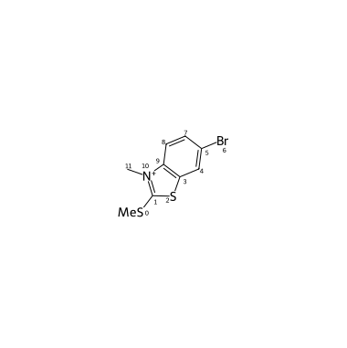 CSc1sc2cc(Br)ccc2[n+]1C